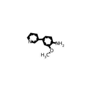 COc1cc(-c2cccnc2)ccc1N